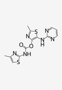 Cc1csc(NC(=O)Oc2nc(C)sc2Nc2ncccn2)n1